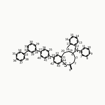 C=C1CCC(N(c2ccccc2)c2ccccc2C)CCc2cc(-c3ccc(-c4cccc(-c5ccccc5)c4)cc3)ccc2S1